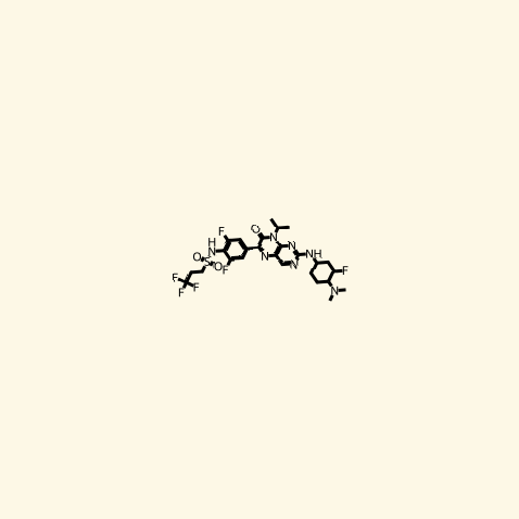 CC(C)n1c(=O)c(-c2cc(F)c(NS(=O)(=O)CCC(F)(F)F)c(F)c2)nc2cnc(NC3CCC(N(C)C)C(F)C3)nc21